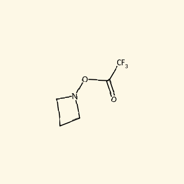 O=C(ON1CCC1)C(F)(F)F